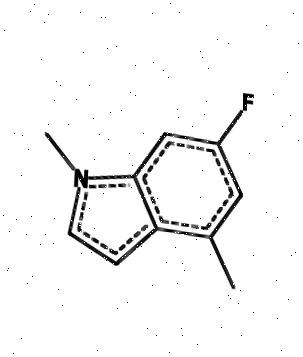 Cc1cc(F)cc2c1ccn2C